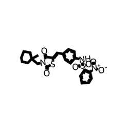 CC1(CN2C(=O)S/C(=C\c3ccc(NS(=O)(=O)c4ccccc4[N+](=O)[O-])cc3)C2=O)CCCCC1